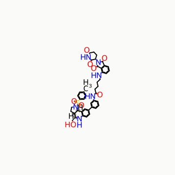 Cc1ccc(S(=O)(=O)N2CC[C@@H]3[C@H](CO)Nc4ccc(-c5cccc(NC(=O)CCCCNc6cccc7c6C(=O)N(C6CCC(=O)NC6=O)C7=O)c5)cc4[C@@H]32)cc1